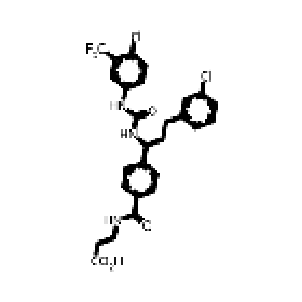 O=C(O)CCNC(=O)c1ccc(C(CCc2cccc(Cl)c2)NC(=O)Nc2ccc(Cl)c(C(F)(F)F)c2)cc1